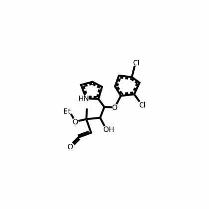 CCOC(C)(C=C=O)C(O)C(Oc1ccc(Cl)cc1Cl)c1ccc[nH]1